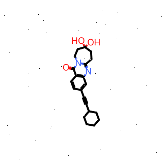 O=c1c2ccc(C#CC3CCCCC3)cc2nc2n1CCC(O)(O)CC2